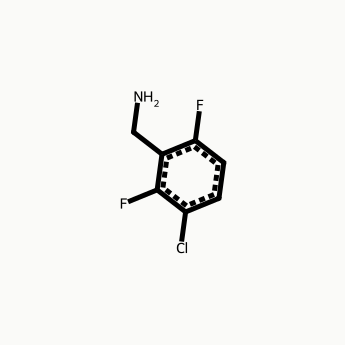 NCc1c(F)ccc(Cl)c1F